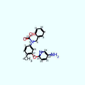 Cc1ccc(N(Cc2ccccc2)C(=O)O)cc1Oc1ccc(N)cn1